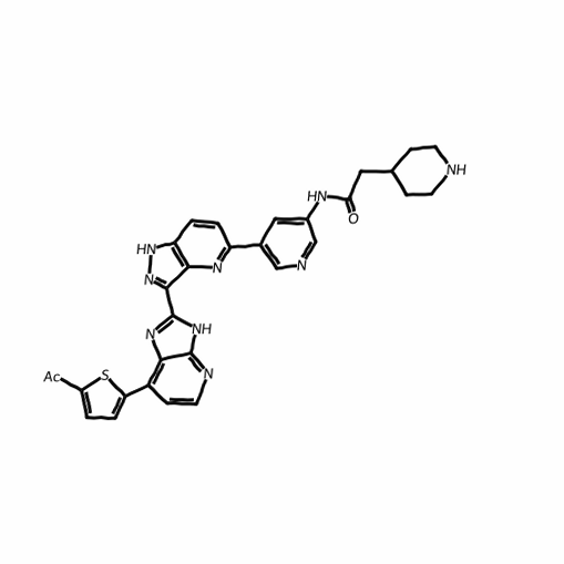 CC(=O)c1ccc(-c2ccnc3[nH]c(-c4n[nH]c5ccc(-c6cncc(NC(=O)CC7CCNCC7)c6)nc45)nc23)s1